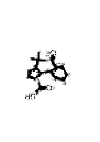 CC(C)(C)c1ccn(C(=O)O)c1-c1ccccc1C=O